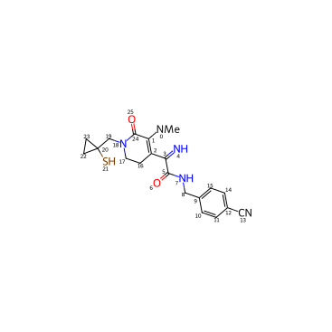 CNC1=C(C(=N)C(=O)NCc2ccc(C#N)cc2)CCN(CC2(S)CC2)C1=O